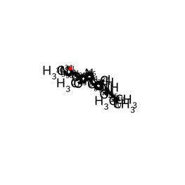 COc1cc2c(Oc3ccc(NC(=O)NCCC(C)(C)C)c(Cl)c3)ccnc2cc1OCC1CCN(C)CC1